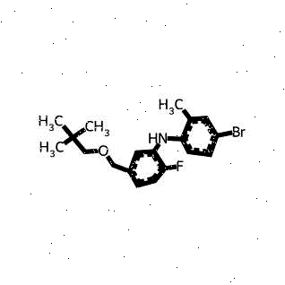 Cc1cc(Br)ccc1Nc1cc(COCC(C)(C)C)ccc1F